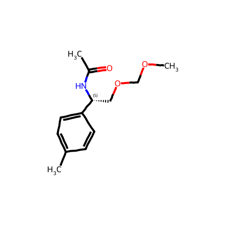 COCOC[C@@H](NC(C)=O)c1ccc(C)cc1